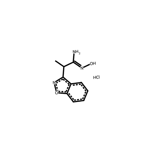 CC(C(N)=NO)c1noc2ccccc12.Cl